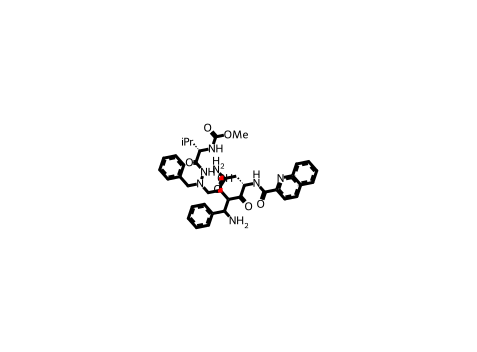 COC(=O)N[C@H](C(=O)NN(Cc1ccccc1)CC(O)C(C(=O)[C@H](CC(N)=O)NC(=O)c1ccc2ccccc2n1)C(N)c1ccccc1)C(C)C